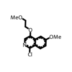 COCCOc1cnc(Cl)c2ccc(OC)cc12